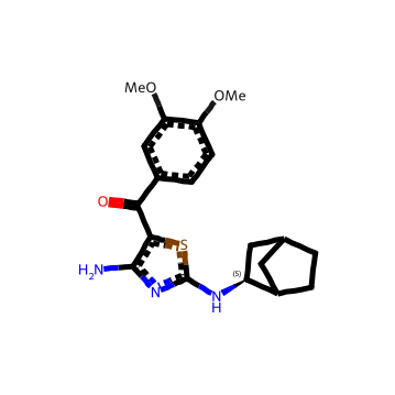 COc1ccc(C(=O)c2sc(N[C@H]3CC4CCC3C4)nc2N)cc1OC